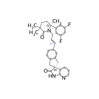 CC1(C)CC[C@@](C)(c2cc(F)cc(F)c2)N(C/C=C/c2ccc3c(c2)C[C@@]2(C3)C(=O)Nc3ncccc32)C1=O